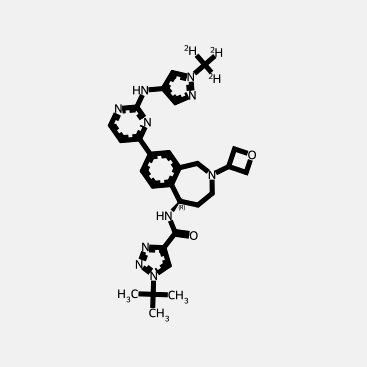 [2H]C([2H])([2H])n1cc(Nc2nccc(-c3ccc4c(c3)CN(C3COC3)CC[C@H]4NC(=O)c3cn(C(C)(C)C)nn3)n2)cn1